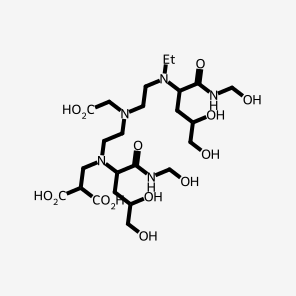 CCN(CCN(CCN(CC(C(=O)O)C(=O)O)C(CC(O)CO)C(=O)NCO)CC(=O)O)C(CC(O)CO)C(=O)NCO